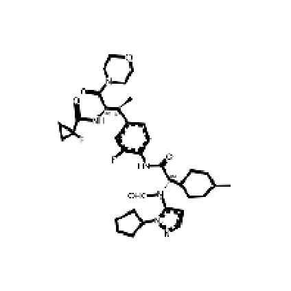 CC1CCC([C@@H](C(=O)Nc2ccc([C@H](C)[C@@H](NC(=O)C3(F)CC3)C(=O)N3CCOCC3)cc2F)N(C=O)c2ccnn2C2CCCC2)CC1